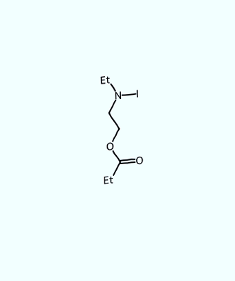 CCC(=O)OCCN(I)CC